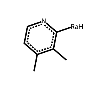 Cc1ccn[c]([RaH])c1C